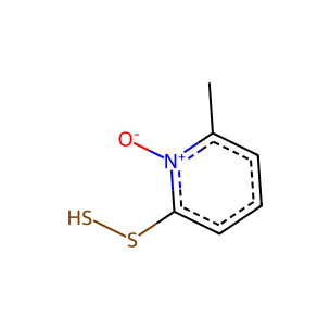 Cc1cccc(SS)[n+]1[O-]